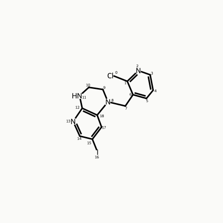 Clc1ncccc1CN1CCNc2ncc(I)cc21